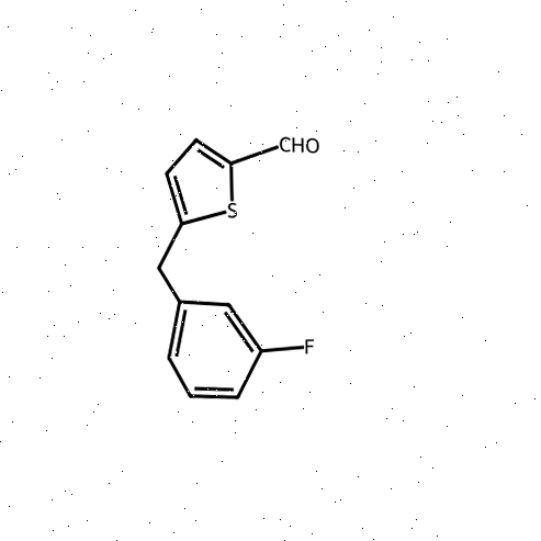 O=Cc1ccc(Cc2cccc(F)c2)s1